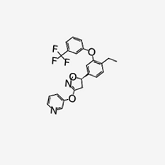 CCc1ccc([C@H]2CC(Oc3cccnc3)=NO2)cc1Oc1cccc(C(F)(F)F)c1